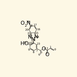 C=CC(=O)OC(C)c1ccc(O)c(-n2nc3ccc([N+](=O)[O-])cc3n2)c1